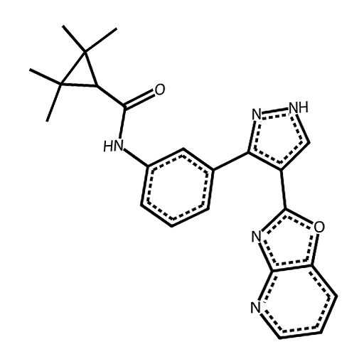 CC1(C)C(C(=O)Nc2cccc(-c3n[nH]cc3-c3nc4ncccc4o3)c2)C1(C)C